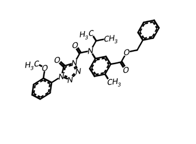 COc1ccccc1-n1nnn(C(=O)N(c2ccc(C)c(C(=O)OCc3ccccc3)c2)C(C)C)c1=O